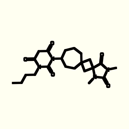 CCCCN1C(=O)CC(=O)N(C2CCCC3(CC2)CC2(C3)C(=O)N(C)C(=O)N2C)C1=O